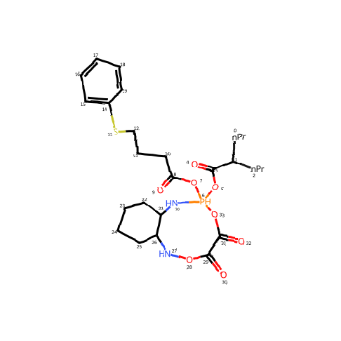 CCCC(CCC)C(=O)O[PH]1(OC(=O)CCCSc2ccccc2)NC2CCCCC2NOC(=O)C(=O)O1